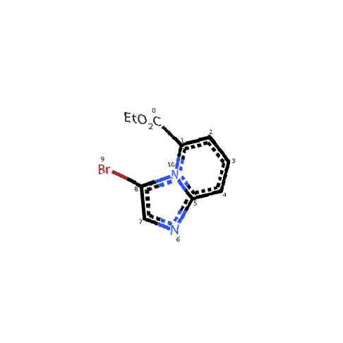 CCOC(=O)c1cccc2ncc(Br)n12